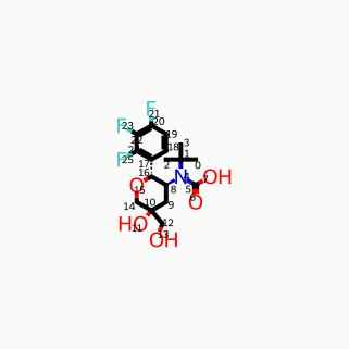 CC(C)(C)N(C(=O)O)[C@H]1CC(O)(CO)CO[C@@H]1c1ccc(F)c(F)c1F